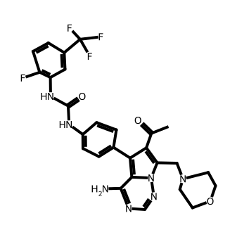 CC(=O)c1c(-c2ccc(NC(=O)Nc3cc(C(F)(F)F)ccc3F)cc2)c2c(N)ncnn2c1CN1CCOCC1